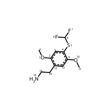 COc1cc(SC(F)F)c(OC)cc1CCN